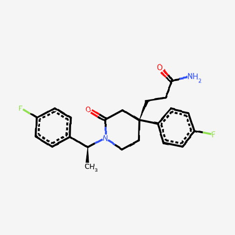 C[C@@H](c1ccc(F)cc1)N1CC[C@@](CCC(N)=O)(c2ccc(F)cc2)CC1=O